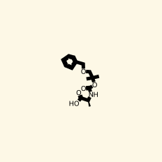 C[C@H](NC(=O)OC(C)(C)COCc1ccccc1)C(=O)O